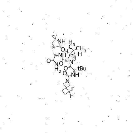 CC(C)(C)[C@H](NC(=O)N1CC2(CCC2(F)F)C1)C(=O)N1C[C@H]2[C@@H]([C@H]1C(=O)N[C@@H](C[C@@H]1CC3(CC3)NC1=O)C(N)=O)C2(C)C